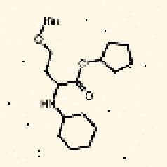 CC(C)(C)OCC[C@H](NC1CCCCC1)C(=O)OC1CCCC1